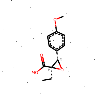 CC[C@@]1(C(=O)O)O[C@H]1c1ccc(OC)cc1